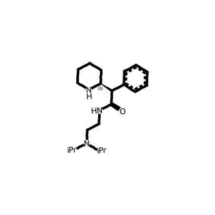 CC(C)N(CCNC(=O)C(c1ccccc1)[C@@H]1CCCCN1)C(C)C